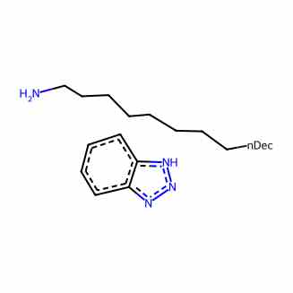 CCCCCCCCCCCCCCCCCCN.c1ccc2[nH]nnc2c1